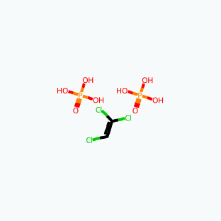 ClC=C(Cl)Cl.O=P(O)(O)O.O=P(O)(O)O